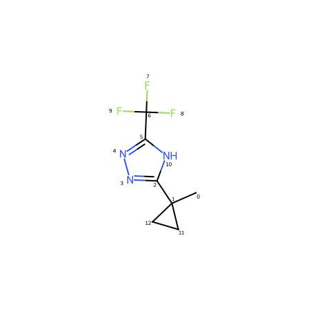 CC1(c2nnc(C(F)(F)F)[nH]2)CC1